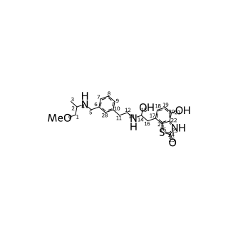 COCC(C)NCc1cccc(CCNC(O)Cc2ccc(O)c3[nH]c(=O)sc23)c1